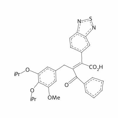 COc1cc(CC(C(=O)c2ccccc2)=C(C(=O)O)c2ccc3nsnc3c2)cc(OC(C)C)c1OC(C)C